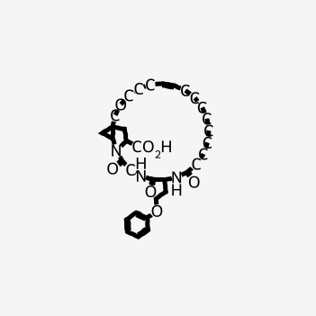 O=C1CCCCCCCCC=CCCCOCC23CC(C(=O)O)N(C(=O)CNC(=O)C(CCOc4ccccc4)N1)C2C3